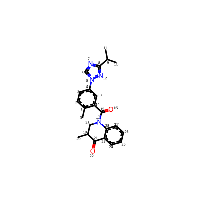 Cc1ccc(-n2cnc(C(C)C)n2)cc1C(=O)N1CC(C)C(=O)c2ccccc21